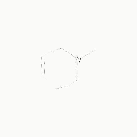 CN1[C]CC=CC1